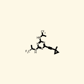 CC(Nc1nc(C#CC2(C)CC2)nc(N[C@H](C)C(F)(F)F)n1)C(F)(F)F